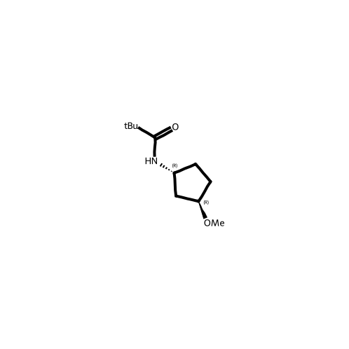 CO[C@@H]1CC[C@@H](NC(=O)C(C)(C)C)C1